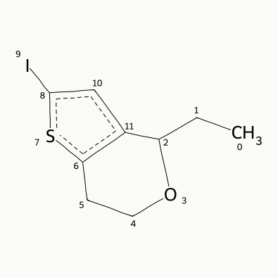 CCC1OCCc2sc(I)cc21